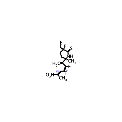 C=C(/C(F)=C(F)\C=C(/C)[N+](=O)[O-])[C@]1(C)CC[C@](F)(CF)C(=S)N1